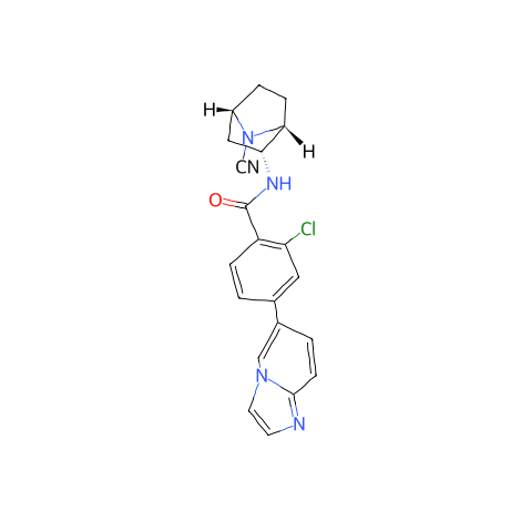 N#CN1[C@H]2CC[C@@H]1[C@H](NC(=O)c1ccc(-c3ccc4nccn4c3)cc1Cl)C2